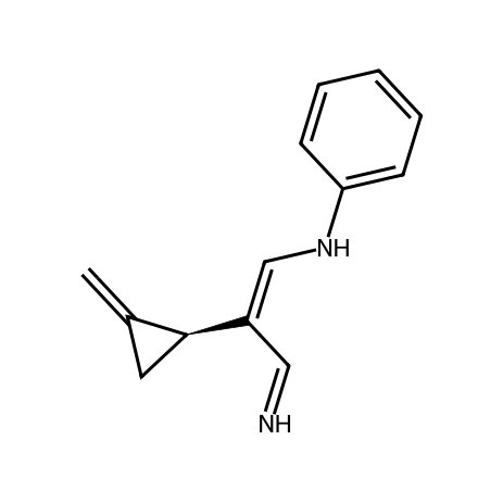 C=C1C[C@@H]1/C(C=N)=C/Nc1ccccc1